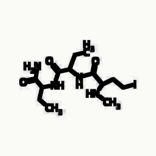 CCC(NC(=O)C(CC)NC(=O)C(CCI)NC)C(N)=O